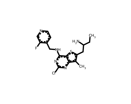 CCC(N)Cc1sc2c(NCc3ccncc3F)nc(Cl)nc2c1C